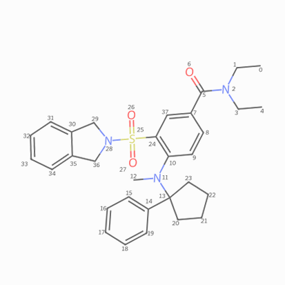 CCN(CC)C(=O)c1ccc(N(C)C2(c3ccccc3)CCCC2)c(S(=O)(=O)N2Cc3ccccc3C2)c1